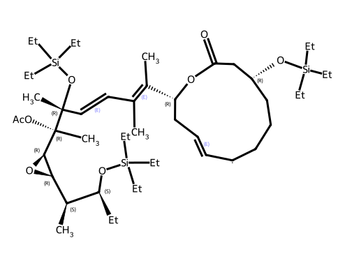 CC[C@H](O[Si](CC)(CC)CC)[C@@H](C)[C@H]1O[C@H]1[C@@](C)(OC(C)=O)[C@@](C)(/C=C/C(C)=C(\C)[C@H]1C/C=C/[CH]CCC[C@@H](O[Si](CC)(CC)CC)CC(=O)O1)O[Si](CC)(CC)CC